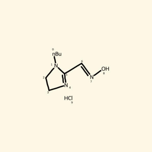 CCCCN1CCN=C1C=NO.Cl